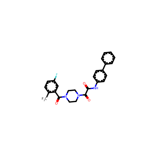 O=C(Nc1ccc(-c2ccccc2)cc1)C(=O)N1CCN(C(=O)c2cc(F)ccc2C(F)(F)F)CC1